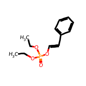 CCOP(=O)(OC=Cc1ccccc1)OCC